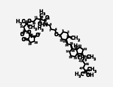 C=C1CC[C@H](OCCCNC(=O)C(C)(C)CCOC(C)(C)CC(=O)ON2C(=O)CCC2=O)C/C1=C/C=C1\CCC[C@]2(C)C([C@H](C)CCCC(C)(C)O)CC[C@@H]12